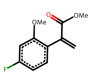 C=C(C(=O)OC)c1ccc(F)cc1OC